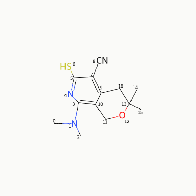 CN(C)c1nc(S)c(C#N)c2c1COC(C)(C)C2